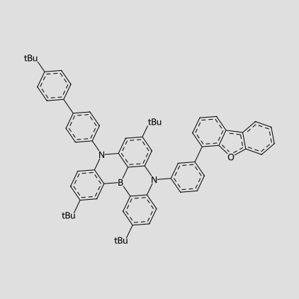 CC(C)(C)c1ccc(-c2ccc(N3c4ccc(C(C)(C)C)cc4B4c5cc(C(C)(C)C)ccc5N(c5cccc(-c6cccc7c6oc6ccccc67)c5)c5cc(C(C)(C)C)cc3c54)cc2)cc1